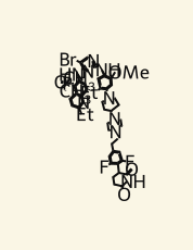 CCc1ccc2c(P(C)(C)=O)c(Nc3nc(Nc4cc(CC)c(N5CCC(N6CCN(CCc7cc(F)c(C8CCC(=O)NC8=O)c(F)c7)CC6)CC5)cc4OC)ncc3Br)ccc2n1